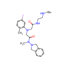 Cc1ccc(I)cc1N(CC(=O)NCCNC(C)(C)C)CC(=O)N(C)N1Cc2ccccc2C1